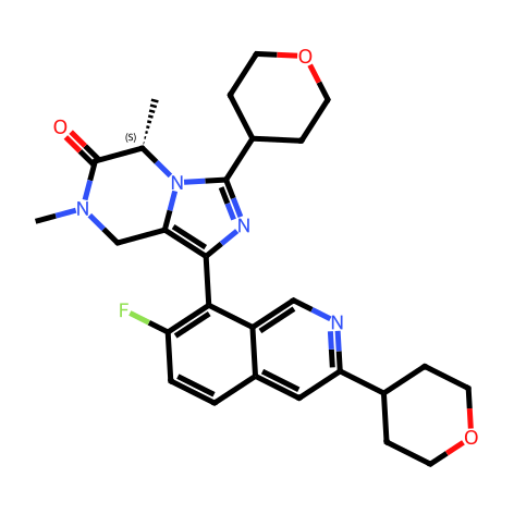 C[C@H]1C(=O)N(C)Cc2c(-c3c(F)ccc4cc(C5CCOCC5)ncc34)nc(C3CCOCC3)n21